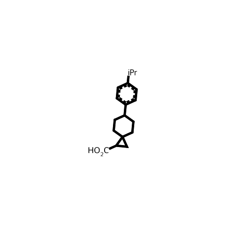 CC(C)c1ccc(C2CCC3(CC2)CC3C(=O)O)cc1